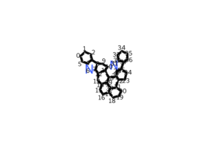 c1ccc2c(c1)=Nc1c=2ccc2c1cc1ccc3cccc4c5ccc6c(c5c2c1c34)N=c1ccccc1=6